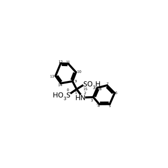 O=S(=O)(O)C(Nc1[c]cccc1)(c1ccccc1)S(=O)(=O)O